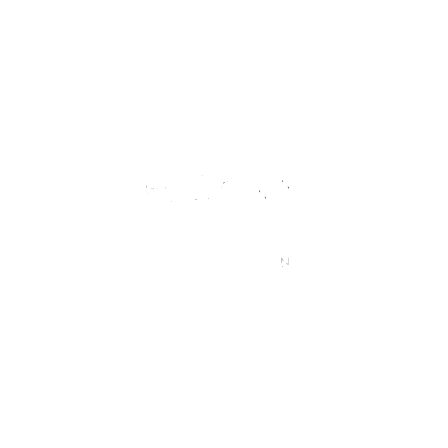 N#Cc1cnn(CC23CC(C(=O)O)(C2)C3)c1